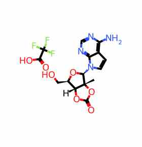 C[C@@]12OC(=O)O[C@@H]1[C@@H](CO)O[C@H]2n1ccc2c(N)ncnc21.O=C(O)C(F)(F)F